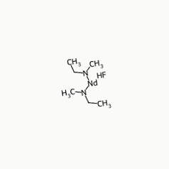 CC[N](C)[Nd][N](C)CC.F